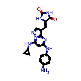 Nc1ccc(Nc2cc(NC3CC3)n3ncc(/C=C4\NC(=O)NC4=O)c3n2)cc1